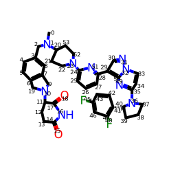 CN(Cc1ccc2c(c1)CN(C1CCC(=O)NC1=O)C2)C1CCN(c2cccc(-c3cnn4ccc(N5CCC[C@@H]5c5ccc(F)cc5F)nc34)n2)CC1